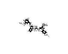 Cc1ccc(-n2nc(C(C)(C)C)cc2NC(=O)N[C@H]2CC[C@H](OCc3ccnc(N)c3)c3ccccc32)cc1